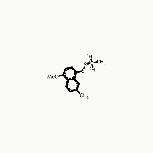 [1H][13C]([1H])(C)SSc1ccc(OC)c2ccc(C)cc12